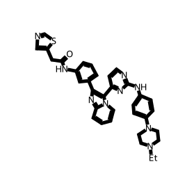 CCN1CCN(c2ccc(Nc3nccc(-c4c(-c5cccc(NC(=O)Cc6cncs6)c5)nc5ccccn45)n3)cc2)CC1